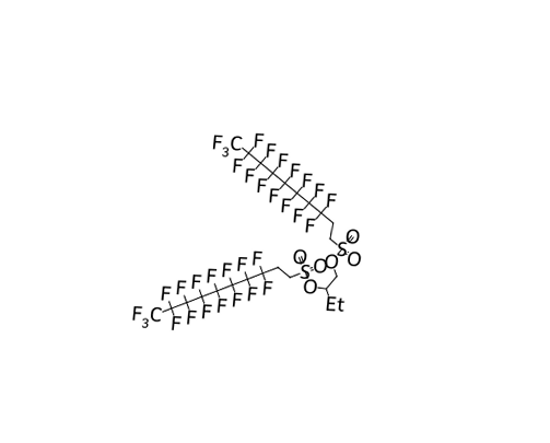 CCC(COS(=O)(=O)CCC(F)(F)C(F)(F)C(F)(F)C(F)(F)C(F)(F)C(F)(F)C(F)(F)C(F)(F)F)OS(=O)(=O)CCC(F)(F)C(F)(F)C(F)(F)C(F)(F)C(F)(F)C(F)(F)C(F)(F)C(F)(F)F